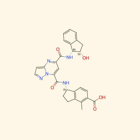 Cc1c(C(=O)O)ccc2c1CC[C@@H]2NC(=O)c1cc(C(=O)N[C@@H]2c3ccccc3C[C@@H]2O)nc2ccnn12